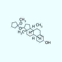 COC1(O[C@H]2CC[C@H]3[C@H]4[C@H](CC[C@]23C)[C@H]2CC[C@@H](O)C=C2C[C@H]4C)CCCC1